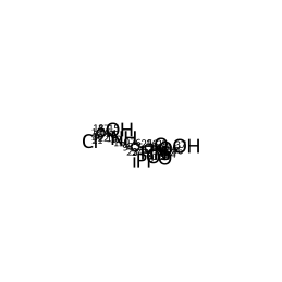 CC(C)Oc1cc(-c2ccc(CCCNC[C@@H](O)c3cccc(Cl)c3)cc2)ccc1C(=O)NS(=O)(=O)CCCO